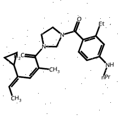 C=C(/C(C)=C\C(=C/C)C1CC1)N1CCN(C(=O)c2ccc(NCCC)cc2CC)C1